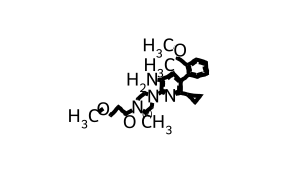 COCCC(=O)N1CCN(c2nc(C3CC3)c(-c3ccccc3COC)c(C)c2N)C[C@H]1C